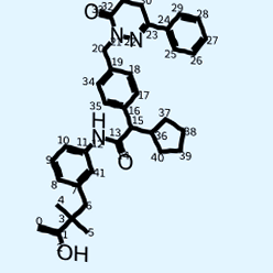 C=C(O)C(C)(C)Cc1cccc(NC(=O)C(c2ccc(CN3N=C(c4ccccc4)CCC3=O)cc2)C2CCCC2)c1